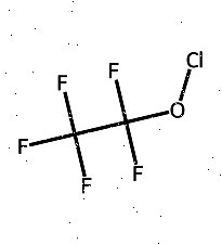 FC(F)(F)C(F)(F)OCl